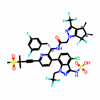 C[C@@H]1c2c(C(F)(F)F)nn(CC(=O)N[C@@H](Cc3cc(F)cc(F)c3)c3nc(C#CC(C)(C)S(C)(=O)=O)ccc3-c3ccc(Cl)c4c(NS(=O)(=O)O)nn(CC(F)(F)F)c34)c2C(F)(F)[C@@H]1C